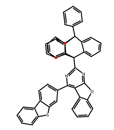 c1ccc(C23c4ccccc4C(c4nc(-c5ccc6c(c5)sc5ccccc56)c5c(n4)oc4ccccc45)(c4ccccc42)c2ccccc23)cc1